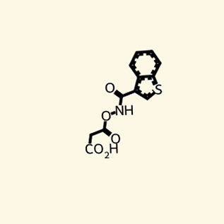 O=C(O)CC(=O)ONC(=O)c1csc2ccccc12